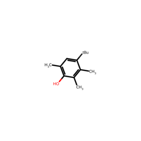 Cc1cc(C(C)(C)C)c(C)c(C)c1O